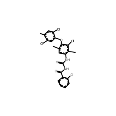 Cc1cc(Cl)c(Oc2c(C)cc(NC(=O)NC(=O)c3ccccc3Cl)c(C)c2Cl)cc1Cl